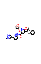 Cn1cc(-c2cccc(NC(=O)c3cc4c(nc3OC3CCOC3)OC(C)(C)[C@@H]4Cc3ccccc3)n2)cn1